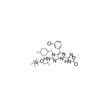 CC1CCC(Cn2c(NC(C)CO[Si](C)(C)C(C)(C)C)nc3nc(-c4noc(=O)[nH]4)nc(-c4cccc(Cl)c4)c32)CC1